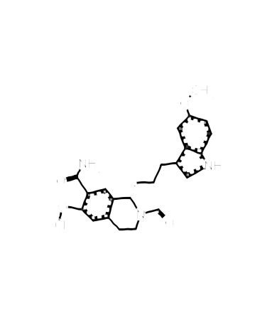 COc1ccc2[nH]cc(CCC[C@H]3c4cc(C(N)=O)c(OC)cc4CCN3C=O)c2c1